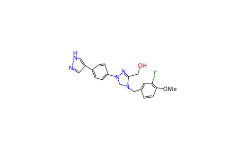 COc1ccc(CN2CN(c3ccc(-c4cn[nH]c4)cc3)N=C2CO)cc1F